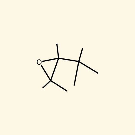 CC(C)(C)C1(C)OC1(C)C